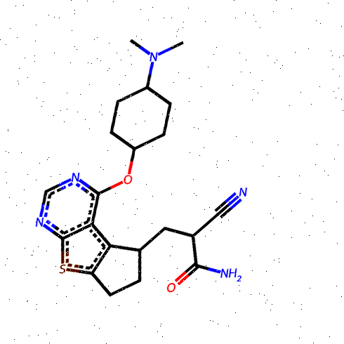 CN(C)C1CCC(Oc2ncnc3sc4c(c23)C(CC(C#N)C(N)=O)CC4)CC1